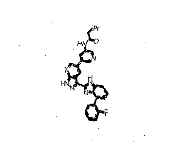 CC(C)CC(=O)Nc1cncc(-c2cnc3[nH]nc(-c4nc5c(-c6ccccc6F)cccc5[nH]4)c3c2)c1